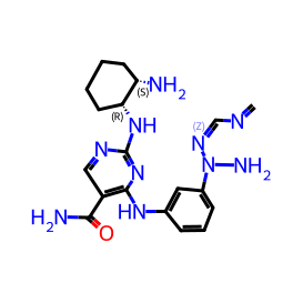 C=N/C=N\N(N)c1cccc(Nc2nc(N[C@@H]3CCCC[C@@H]3N)ncc2C(N)=O)c1